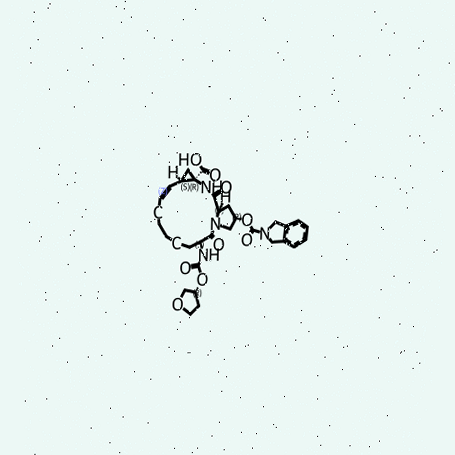 O=C(N[C@H]1CCCCC/C=C\[C@@H]2C[C@@]2(C(=O)O)NC(=O)[C@@H]2C[C@@H](OC(=O)N3Cc4ccccc4C3)CN2C1=O)O[C@@H]1CCOC1